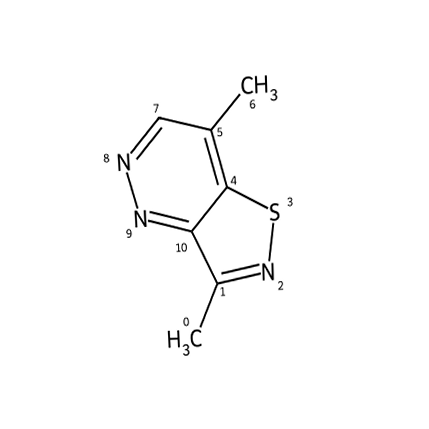 Cc1nsc2c(C)cnnc12